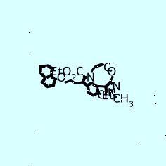 CCOC(=O)c1c(CCCOc2cccc3ccccc23)c2ccc(Cl)c3c2n1C/C=C\COCc1nn(C)c(CC)c1-3